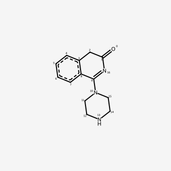 O=C1Cc2ccccc2C(N2CCNCC2)=N1